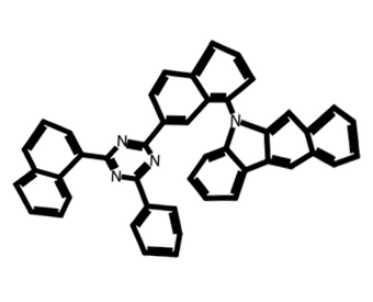 c1ccc(-c2nc(-c3ccc4cccc(-n5c6ccccc6c6cc7ccccc7cc65)c4c3)nc(-c3cccc4ccccc34)n2)cc1